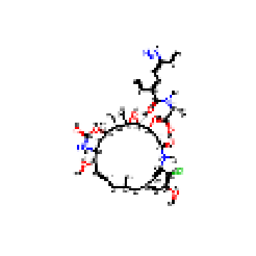 C=C/C(N)=C\C=C(/C=C)C(=O)N(C)[C@@H](C)C(=O)O[C@H]1CC(=O)N(C)c2cc(cc(OC)c2Cl)C/C(C)=C/C=C/[C@@H](OC)C2C[C@H](OC(=O)N2)[C@@H](C)[C@@H]2O[C@@]12C